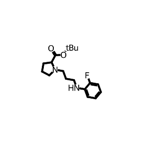 CC(C)(C)OC(=O)C1CCCN1CCCNc1ccccc1F